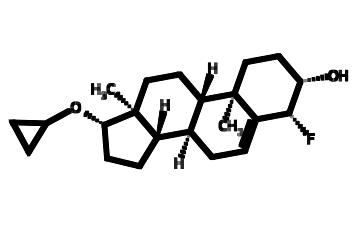 C[C@]12CC[C@H]3[C@@H](CC=C4[C@@H](F)[C@@H](O)CC[C@@]43C)[C@@H]1CC[C@@H]2OC1CC1